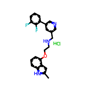 Cc1cc2c(OCCNCc3cncc(-c4cccc(F)c4F)c3)cccc2[nH]1.Cl